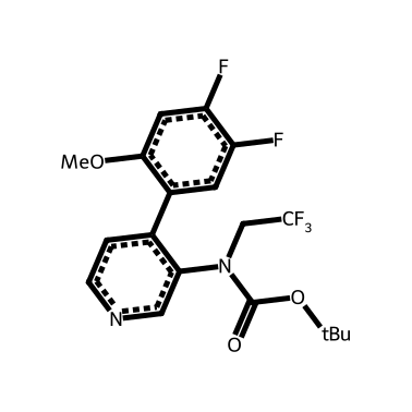 COc1cc(F)c(F)cc1-c1ccncc1N(CC(F)(F)F)C(=O)OC(C)(C)C